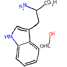 NC(Cc1c[nH]c2ccccc12)C(=O)O.O=CO